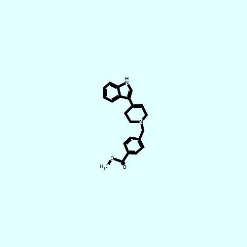 COC(=O)c1ccc(CN2CC=C(c3c[nH]c4ccccc34)CC2)cc1